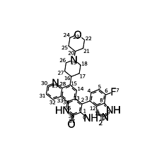 Nc1c(-c2ccc(F)c3[nH]ncc23)c2cc(C3CCN(C4CCOCC4)CC3)c3ncccc3c2[nH]c1=O